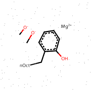 CCCCCCCCCc1ccccc1O.C[O-].C[O-].[Mg+2]